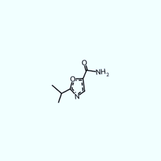 CC(C)c1ncc(C(N)=O)o1